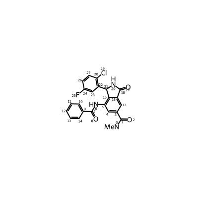 CNC(=O)c1cc(NC(=O)c2ccccc2)c2c(c1)C(=O)NC2c1cc(F)ccc1Cl